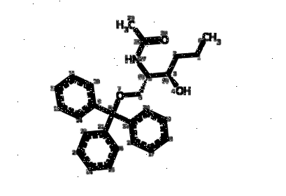 CCC[C@@H](O)[C@H](COC(c1ccccc1)(c1ccccc1)c1ccccc1)NC(C)=O